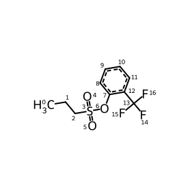 CCCS(=O)(=O)Oc1ccccc1C(F)(F)F